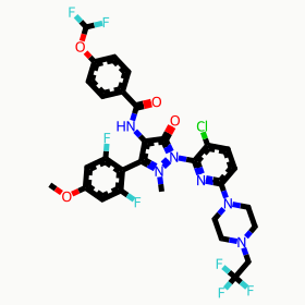 COc1cc(F)c(-c2c(NC(=O)c3ccc(OC(F)F)cc3)c(=O)n(-c3nc(N4CCN(CC(F)(F)F)CC4)ccc3Cl)n2C)c(F)c1